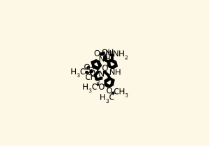 CCOc1cc([C@@H](Nc2ccc3c(N)nccc3c2)C(=O)N2CCC[C@H]2c2cc(NC(=O)O)ccc2S(=O)(=O)C(C)C)ccc1OC(C)C